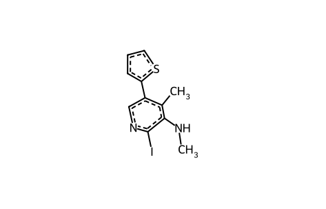 CNc1c(I)ncc(-c2cccs2)c1C